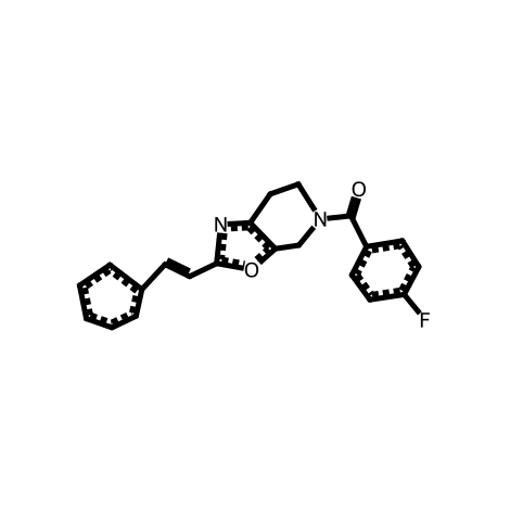 O=C(c1ccc(F)cc1)N1CCc2nc(C=Cc3ccccc3)oc2C1